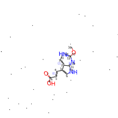 C/C=C1/C(/C=C/C(=O)O)=CN/C1=N/C(=N)OC